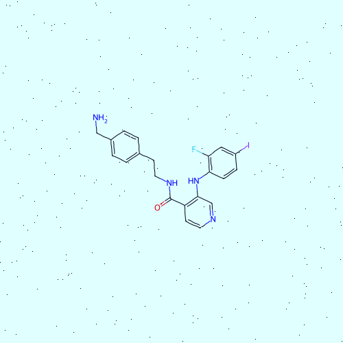 NCc1ccc(CCNC(=O)c2ccncc2Nc2ccc(I)cc2F)cc1